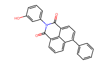 O=C1c2cccc3c(-c4ccccc4)ccc(c23)C(=O)N1c1cccc(O)c1